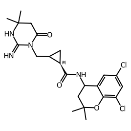 CC1(C)CC(=O)N(CC2C[C@H]2C(=O)NC2CC(C)(C)Oc3c(Cl)cc(Cl)cc32)C(=N)N1